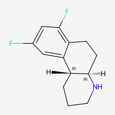 Fc1cc(F)c2c(c1)[C@H]1CCCN[C@@H]1CC2